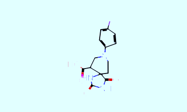 O=C1NC(=O)C2(CCN(c3ccc(I)cc3)CC2C(=O)O)N1